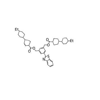 CCC1CCC(C2CCC(C(=O)OCc3cc(COC(=O)C4CCC(C5CCC(CC)CC5)CC4)cc(-c4nc5ccccc5s4)c3)CC2)CC1